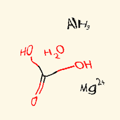 O.O=C(O)O.[AlH3].[Mg+2]